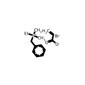 C=CC([O])=O.CC[N+](C)(C)Cc1ccccc1.[Br-]